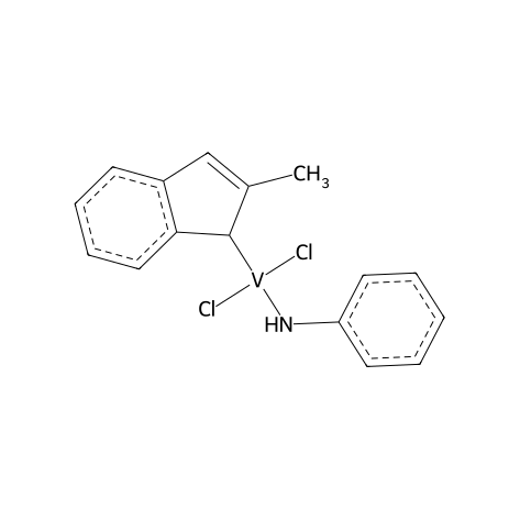 CC1=Cc2ccccc2[CH]1[V]([Cl])([Cl])[NH]c1ccccc1